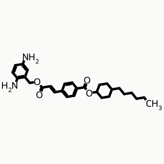 CCCCCCC1CCC(OC(=O)c2ccc(/C=C/C(=O)OCc3cc(N)ccc3N)cc2)CC1